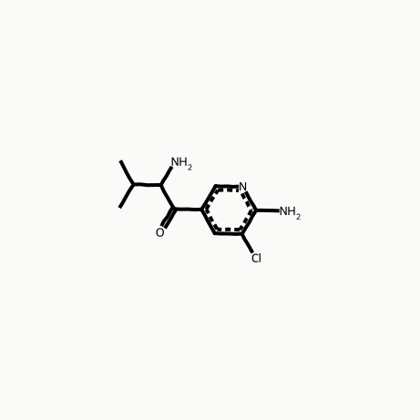 CC(C)C(N)C(=O)c1cnc(N)c(Cl)c1